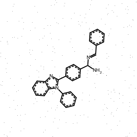 NC(/N=C/c1ccccc1)c1ccc(-c2nc3ccccc3n2-c2ccccc2)cc1